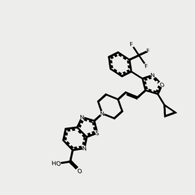 O=C(O)c1ccc2nc(N3CCC(C=Cc4c(-c5ccccc5C(F)(F)F)noc4C4CC4)CC3)sc2n1